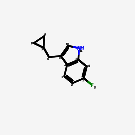 Fc1ccc2c(CC3CC3)c[nH]c2c1